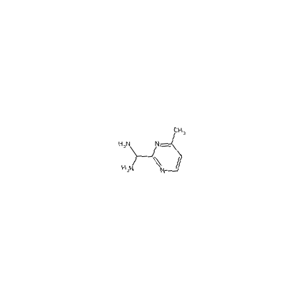 Cc1ccnc(C(N)N)n1